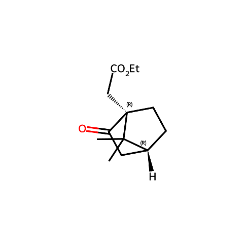 CCOC(=O)C[C@@]12CC[C@H](CC1=O)C2(C)C